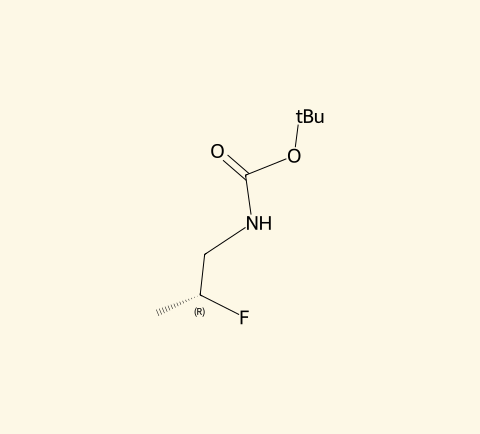 C[C@@H](F)CNC(=O)OC(C)(C)C